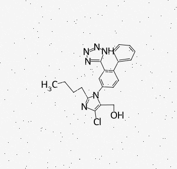 CCCCc1nc(Cl)c(CO)n1-c1ccc(-c2ccccc2)c(-c2nnn[nH]2)c1